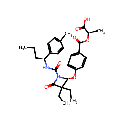 CCC[C@H](NC(=O)N1C(=O)C(CC)(CC)[C@@H]1Oc1ccc(C(=O)O[C@H](C)C(=O)O)cc1)c1ccc(C)cc1